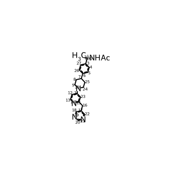 CC(=O)N[C@@H](C)c1ccc(C2CCN(c3ccnc(Cc4cncnc4)c3)CC2)cc1